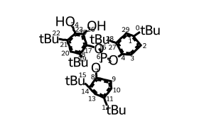 CC(C)(C)c1ccc(OP(Oc2ccc(C(C)(C)C)cc2C(C)(C)C)Oc2c(C(C)(C)C)cc(C(C)(C)C)c(O)c2O)c(C(C)(C)C)c1